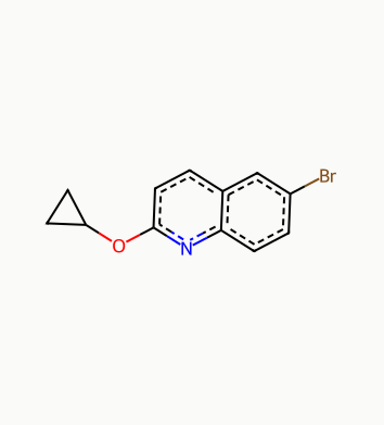 Brc1ccc2nc(OC3CC3)ccc2c1